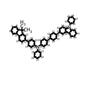 CC1(C)c2ccccc2-c2ccc(-c3ccc(N(c4ccccc4)c4ccc(-c5ccc(-c6ccc7c(c6)c6ccccc6n7-c6ccccc6)cc5)cc4)cc3)cc21